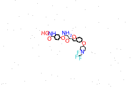 NC(CC(=O)c1cc2cc(OC3CCN(CC(F)(F)F)CC3)ccc2o1)Oc1ccc(C(=O)NO)cc1